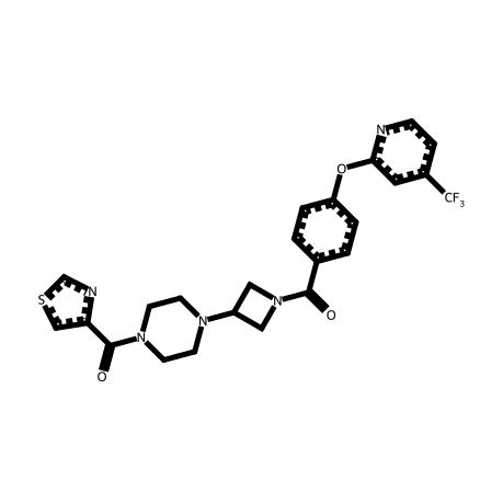 O=C(c1ccc(Oc2cc(C(F)(F)F)ccn2)cc1)N1CC(N2CCN(C(=O)c3cscn3)CC2)C1